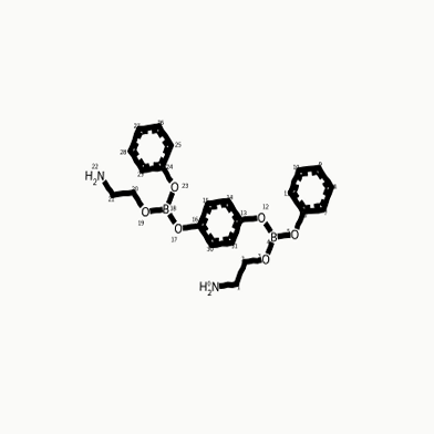 NCCOB(Oc1ccccc1)Oc1ccc(OB(OCCN)Oc2ccccc2)cc1